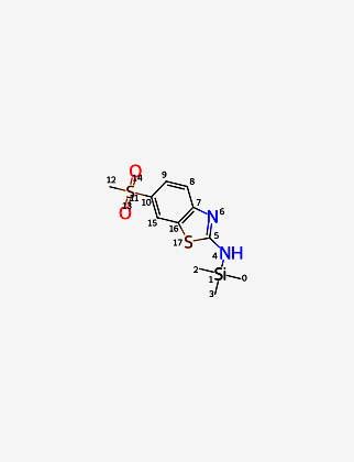 C[Si](C)(C)Nc1nc2ccc(S(C)(=O)=O)cc2s1